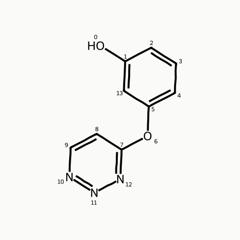 Oc1cccc(Oc2ccnnn2)c1